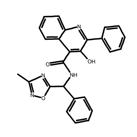 Cc1noc(C(NC(=O)c2c(O)c(-c3ccccc3)nc3ccccc23)c2ccccc2)n1